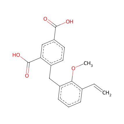 C=Cc1cccc(Cc2ccc(C(=O)O)cc2C(=O)O)c1OC